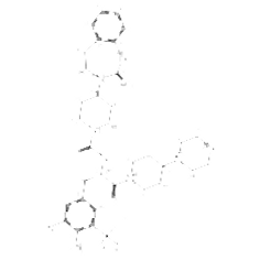 O=C(N[C@H](Cc1cc(Cl)c(O)c(C(F)(F)F)c1)C(=O)N1CCC(N2CCNCC2)CC1)N1CCC(N2CCc3ccccc3NC2=O)CC1